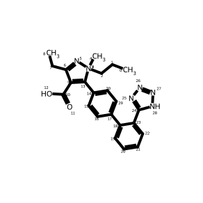 CCC[N+]1(C)N=C(CC)C(C(=O)O)=C1c1ccc(-c2ccccc2-c2nnn[nH]2)cc1